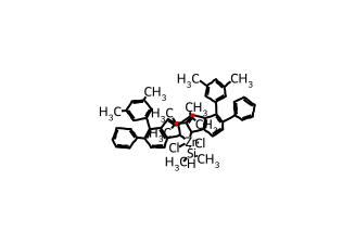 Cc1cc(C)cc(-c2c(-c3ccccc3)ccc3c2C=C(C(C)C)[CH]3[Zr]([Cl])([Cl])([CH]2C(C(C)C)=Cc3c2ccc(-c2ccccc2)c3-c2cc(C)cc(C)c2)[SiH](C)C)c1